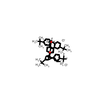 CCCC1[C]([Zr+2][CH]2c3cc(C(C)(C)C)ccc3-c3ccc(C(C)(C)C)cc32)=C2C(C(C)(C)C)=C1C2(c1ccc(C(F)(F)F)cc1)c1ccc(C(F)(F)F)cc1.[Cl-].[Cl-]